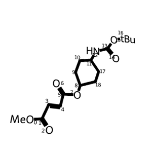 COC(=O)/C=C/C(=O)OC1CCC(NC(=O)OC(C)(C)C)CC1